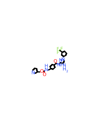 Nc1cn(-c2cccc(C(F)(F)F)c2)nc1NC(=O)c1ccc(CNC(=O)OCc2cccnc2)cc1